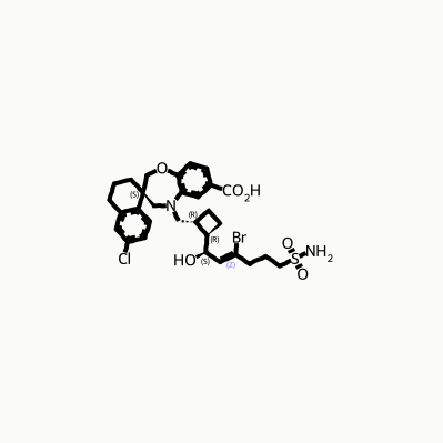 NS(=O)(=O)CCC/C(Br)=C/[C@@H](O)[C@@H]1CC[C@H]1CN1C[C@@]2(CCCc3cc(Cl)ccc32)COc2ccc(C(=O)O)cc21